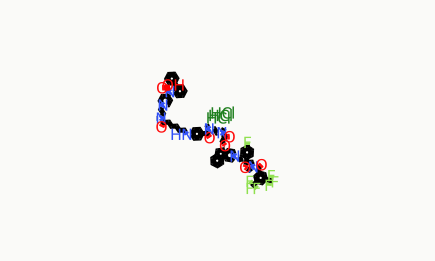 CN(CCN1CCC(N(C(=O)O)c2ccccc2-c2ccccc2)CC1)C(=O)CCCCCNc1ccc(C(=O)N(C)CCN(C)C(=O)CO[C@H]2Cc3ccccc3C23CCN(CC[C@]2(c4ccc(F)cc4)CN(C(=O)c4cc(C(F)(F)F)cc(C(F)(F)F)c4)CO2)CC3)cc1.Cl.Cl.Cl